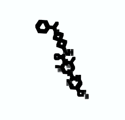 CC(c1ccccc1)N1CC2(CC(NC(=O)N3[C@H](C)CN(c4ncc(C(F)(F)F)cn4)C[C@@H]3C)C2)C1